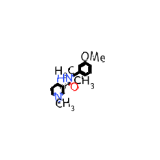 COc1cccc(C(C)(C)NC(=O)[C@H]2CCCN(C)C2)c1